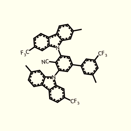 Cc1cc(-c2cc(-n3c4cc(C)ccc4c4ccc(C(F)(F)F)cc43)c(C#N)c(-n3c4cc(C)ccc4c4ccc(C(F)(F)F)cc43)c2)cc(C(F)(F)F)c1